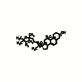 C[C@H](CCCC(C)(C)O[Si](C)(C)C)[C@H]1CCC2C3=CC=C4C[C@@H](O)CC[C@]4(C)C3CC[C@@]21C